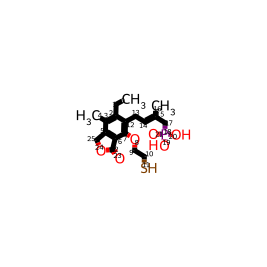 CCc1c(C)c2c(c(OCCS)c1C/C=C(\C)CP(=O)(O)O)C(=O)OC2